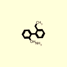 CCc1ccccc1-c1ccccc1O.N